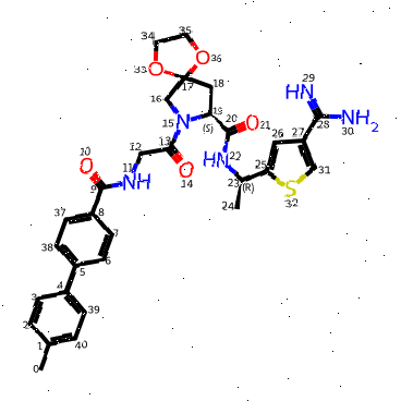 Cc1ccc(-c2ccc(C(=O)NCC(=O)N3CC4(C[C@H]3C(=O)N[C@H](C)c3cc(C(=N)N)cs3)OCCO4)cc2)cc1